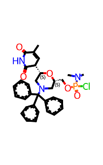 CC1=CC([C@H]2CN(C(c3ccccc3)(c3ccccc3)c3ccccc3)C[C@@H](COP(=O)(Cl)N(C)C)O2)C(=O)NC1=O